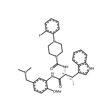 COc1ccc(CN(C)C)cc1NC(=O)[C@H](NC(=O)N1CCN(c2ccccc2F)CC1)[C@@H](C)c1c[nH]c2ccccc12